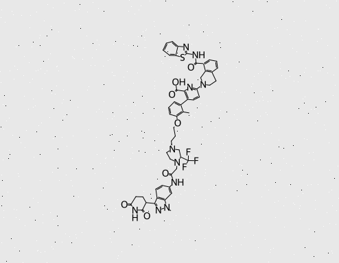 Cc1c(OCCCN2CCN(CC(=O)Nc3ccc4c(C5CCC(=O)NC5=O)nn(C)c4c3)C(C(F)(F)F)C2)cccc1-c1ccc(N2CCc3cccc(C(=O)Nc4nc5ccccc5s4)c3C2)nc1C(=O)O